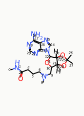 CNC(=O)CCCN(C)CC1OC(n2cnc3c(N)ncnc32)[C@@H]2OC(C)(C)O[C@H]12